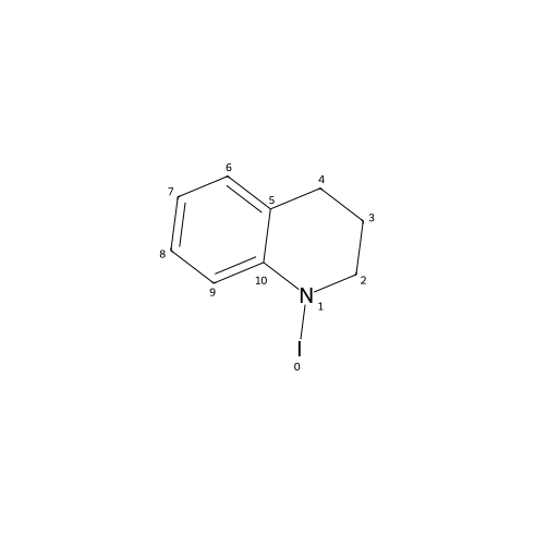 IN1CCCc2ccccc21